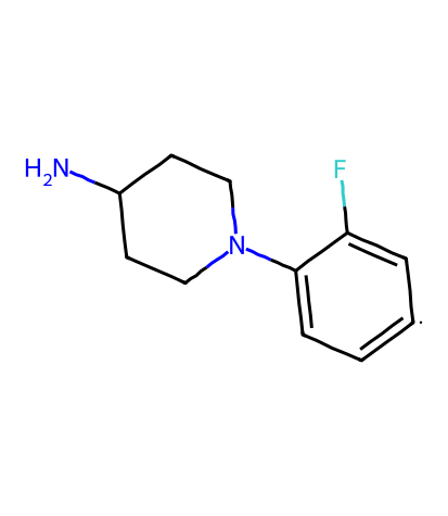 NC1CCN(c2cc[c]cc2F)CC1